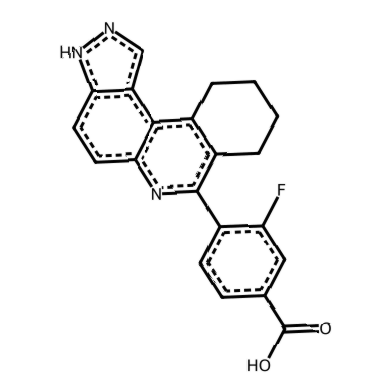 O=C(O)c1ccc(-c2nc3ccc4[nH]ncc4c3c3c2CCCC3)c(F)c1